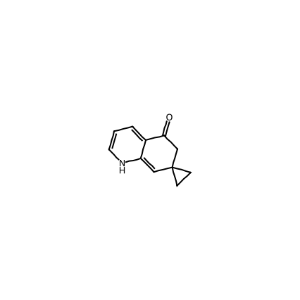 O=C1CC2(C=C3NC=CC=C13)CC2